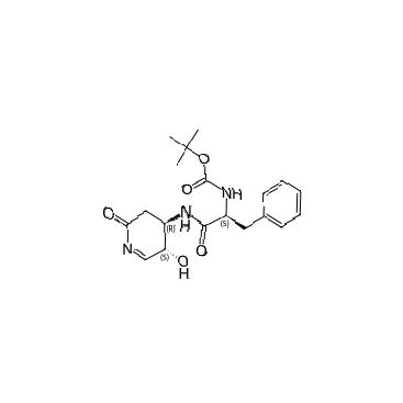 CC(C)(C)OC(=O)N[C@@H](Cc1ccccc1)C(=O)N[C@@H]1CC(=O)N=C[C@H]1O